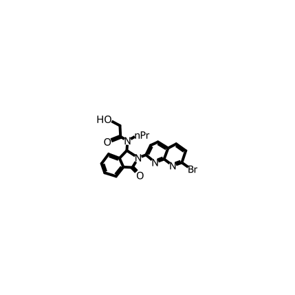 CCCN(C(=O)CO)C1c2ccccc2C(=O)N1c1ccc2ccc(Br)nc2n1